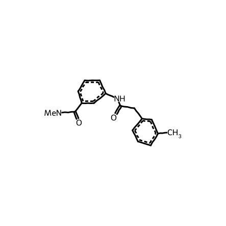 CNC(=O)c1cccc(NC(=O)Cc2cccc(C)c2)c1